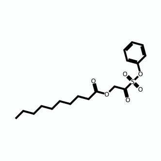 CCCCCCCCCC(=O)OCC(=O)S(=O)(=O)Oc1ccccc1